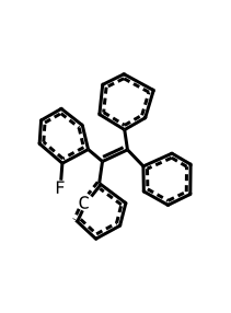 Fc1ccccc1C(=C(c1ccccc1)c1ccccc1)c1ccccc1